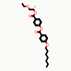 CCCCCCCOc1ccc(C(=O)Oc2ccc(C(=O)O[C@@H](C)COCC)cc2)cc1